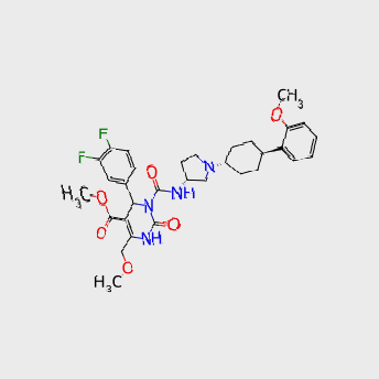 COCC1=C(C(=O)OC)C(c2ccc(F)c(F)c2)N(C(=O)N[C@@H]2CCN([C@H]3CC[C@H](c4ccccc4OC)CC3)C2)C(=O)N1